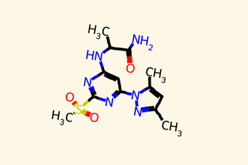 Cc1cc(C)n(-c2cc(NC(C)C(N)=O)nc(S(C)(=O)=O)n2)n1